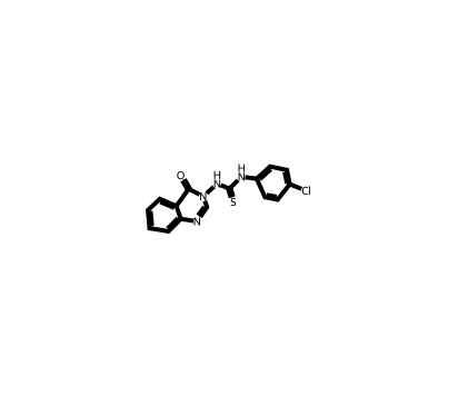 O=c1c2ccccc2ncn1NC(=S)Nc1ccc(Cl)cc1